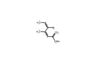 C=C(/C=C(C)\C(Br)=C/C)OC